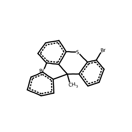 CC1(c2ccccc2)c2cccc(Br)c2Sc2cccc(Br)c21